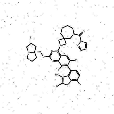 N#Cc1c(N)sc2c(F)ccc(-c3c(Cl)cc4c(N5CC6(CCCCN(C(=O)n7cncn7)C6)C5)nc(OC[C@@]56CCCN5C[C@H](F)C6)nc4c3F)c12